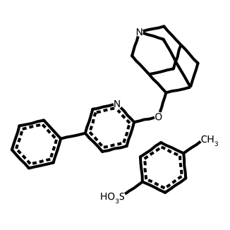 Cc1ccc(S(=O)(=O)O)cc1.c1ccc(-c2ccc(OC3C4CC5CC3CN(C5)C4)nc2)cc1